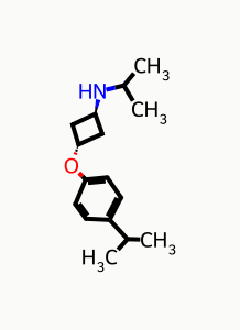 CC(C)N[C@H]1C[C@H](Oc2ccc(C(C)C)cc2)C1